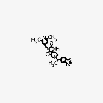 Cc1cc(CN2C(=O)NC3(CCN([C@@H](C)c4ccc5scnc5c4)CC3)C2=O)cc(C)n1